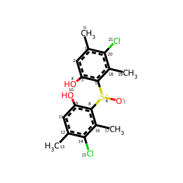 Cc1cc(O)c([S+]([O-])c2c(O)cc(C)c(Cl)c2C)c(C)c1Cl